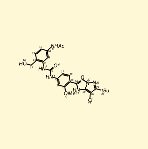 COc1cc(NC(=O)Nc2cc(NC(C)=O)ccc2CO)ccc1-c1nn2nc(C(C)(C)C)c(Cl)c2[nH]1